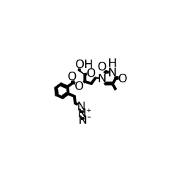 Cc1cn([C@H]2CC(OC(=O)c3ccccc3CCN=[N+]=[N-])[C@@H](CO)O2)c(=O)[nH]c1=O